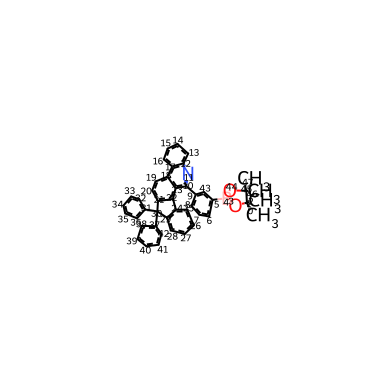 CC1(C)OB(c2cccc(-c3nc4ccccc4c4ccc5c(c34)-c3ccccc3C5(c3ccccc3)c3ccccc3)c2)OC1(C)C